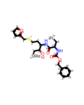 CSCC(O)C(CCSCc1ccco1)NC(=O)C(CC(C)C)NC(=O)OCc1ccccc1